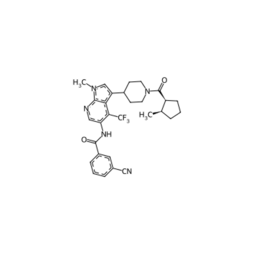 C[C@@H]1CCC[C@@H]1C(=O)N1CCC(c2cn(C)c3ncc(NC(=O)c4cccc(C#N)c4)c(C(F)(F)F)c23)CC1